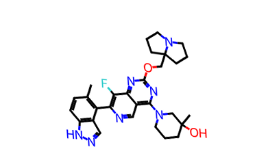 Cc1ccc2[nH]ncc2c1-c1ncc2c(N3CCCC(C)(O)C3)nc(OCC34CCCN3CCC4)nc2c1F